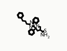 NC(=S)C1CN(c2ccccc2)C(c2ccccc2)(c2nc(CCCc3ccccc3)no2)C1